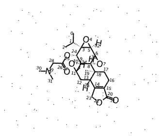 CC(C)[C@]12O[C@H]1[C@@H]1O[C@]13[C@]1(O[C@H]1C[C@H]1C4=C(CC[C@@]13C)C(=O)OC4)[C@@H]2OC(=O)CN(C)C